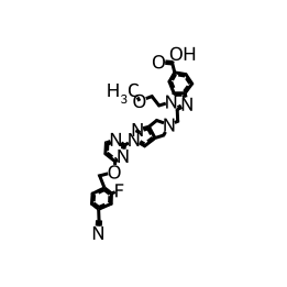 COCCn1c(CN2Cc3cn(-c4nccc(OCc5ccc(C#N)cc5F)n4)nc3C2)nc2ccc(C(=O)O)cc21